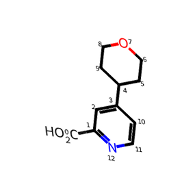 O=C(O)c1cc(C2CCOCC2)ccn1